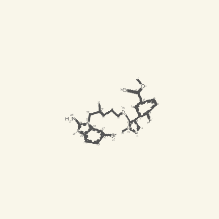 COC(=O)c1ccc(F)c(-c2cnn(C)c2OCCCC(C)Cn2c(N)nc3ccc(Br)cc32)c1